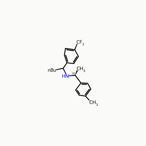 CCCCC(N[C@@H](C)c1ccc(C)cc1)c1ccc(C(F)(F)F)cc1